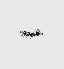 COc1ccc(-c2cn3c(n2)CC(C2CCN(C4CCNCC4)[C@@H](C(C)C)C2)CC3)cc1OC